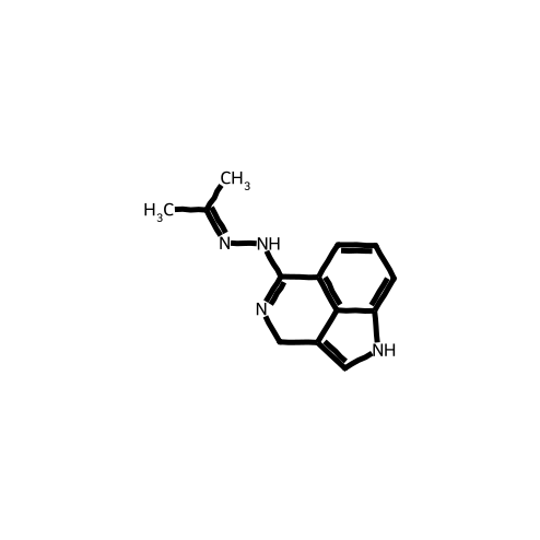 CC(C)=NNC1=NCc2c[nH]c3cccc1c23